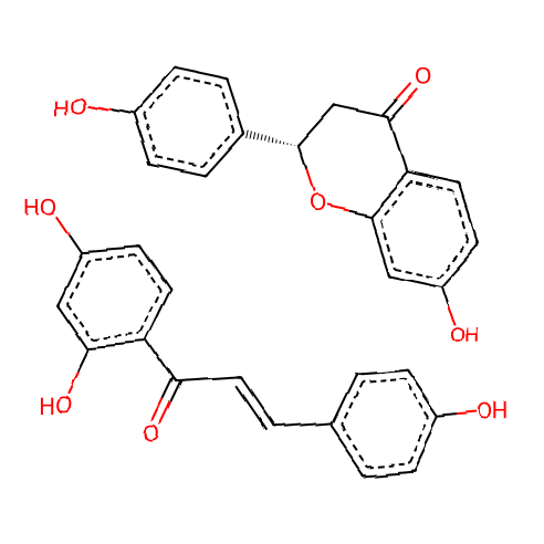 O=C(/C=C/c1ccc(O)cc1)c1ccc(O)cc1O.O=C1C[C@@H](c2ccc(O)cc2)Oc2cc(O)ccc21